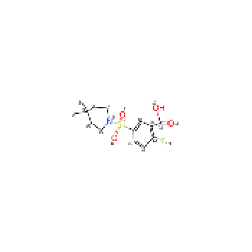 CC1(C)CCN(S(=O)(=O)c2ccc(F)c(C(=O)O)c2)CC1